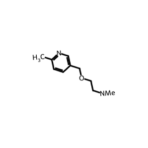 CNCCOCc1ccc(C)nc1